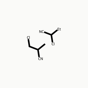 CC(C#N)CCl.CCC(Cl)C#N